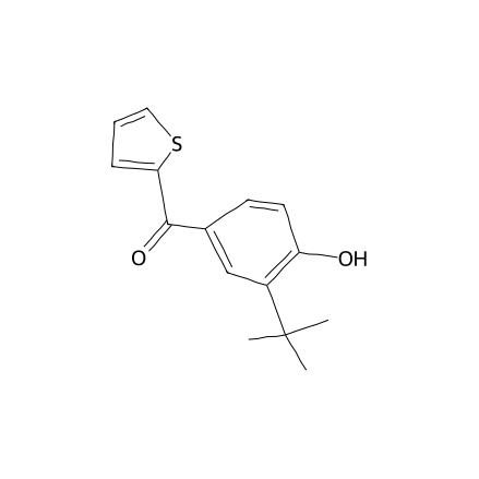 CC(C)(C)c1cc(C(=O)c2cccs2)ccc1O